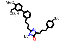 CCN1C(=O)C(CCCc2ccc(C(C)(C)C)cc2)N=C1CCCc1cccc(-c2ccc(OC)c(CC(=O)O)c2)c1